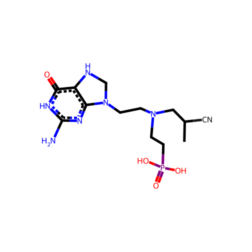 CC(C#N)CN(CCN1CNc2c1nc(N)[nH]c2=O)CCP(=O)(O)O